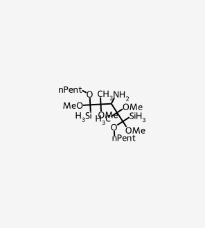 CCCCCOC([SiH3])(OC)C(C)(OC)C(N)C(C)(OC)C([SiH3])(OC)OCCCCC